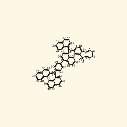 CC1(C)c2ccccc2-c2ccc(N(c3cccc4ccccc34)c3ccc(-c4ccc(N(c5ccc6ccccc6c5)c5cccc6ccccc56)cc4)c4ccccc34)cc21